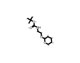 CC(C)(C)OC(=O)NCCOC1CCCCO1